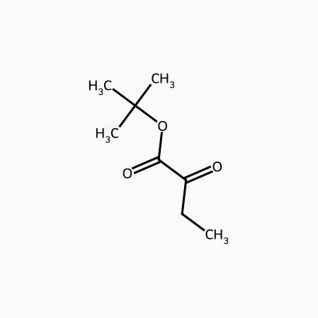 CCC(=O)C(=O)OC(C)(C)C